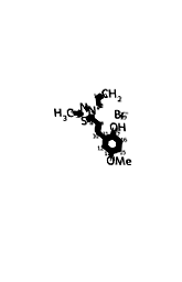 C=CC[n+]1nc(C)sc1/C=C/c1cc(OC)ccc1O.[Br-]